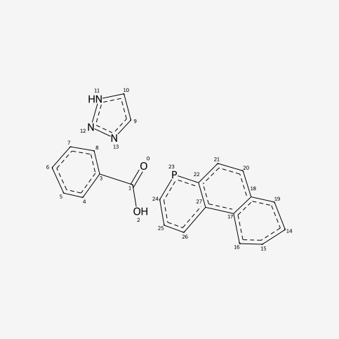 O=C(O)c1ccccc1.c1c[nH]nn1.c1ccc2c(c1)ccc1pcccc12